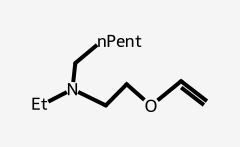 C=COCCN(CC)CCCCCC